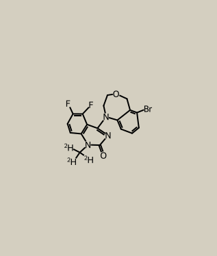 [2H]C([2H])([2H])n1c(=O)nc(N2CCOCc3c(Br)cccc32)c2c(F)c(F)ccc21